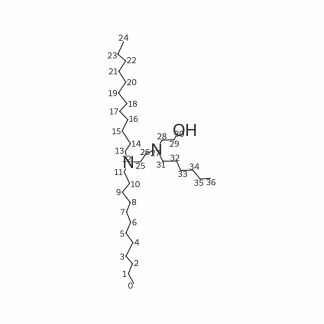 CCCCCCCCCCCCN(CCCCCCCCCCCC)CCN(CCO)CCCCCC